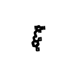 Clc1ccc(CSCc2nc[nH]n2)c(Cl)c1